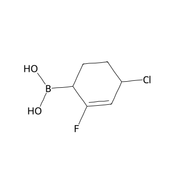 OB(O)C1CCC(Cl)C=C1F